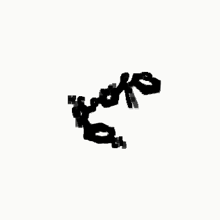 Cc1ccc(-c2noc(C)c2COc2ccc(C(=O)N[C@@H]3CCCOC3)nn2)cn1